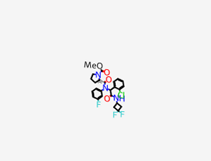 COC(=O)N1CCC[C@H]1C(=O)N(c1cccc(F)c1)C(C(=O)NC1CC(F)(F)C1)c1ccccc1Cl